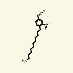 CCCCCCCCCCCCc1ccc(N=C=O)cc1[N+](=O)[O-]